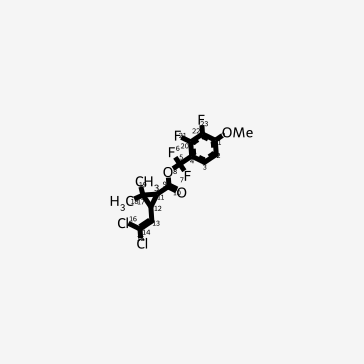 COc1ccc(C(F)(F)OC(=O)C2C(C=C(Cl)Cl)C2(C)C)c(F)c1F